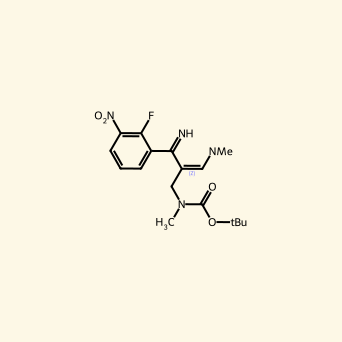 CN/C=C(/CN(C)C(=O)OC(C)(C)C)C(=N)c1cccc([N+](=O)[O-])c1F